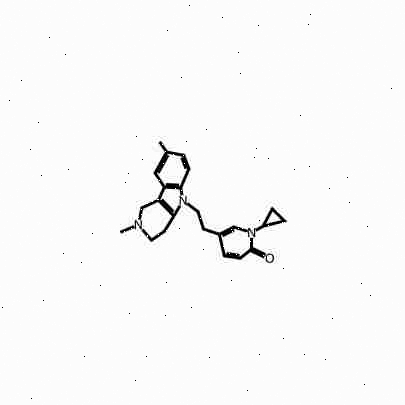 Cc1ccc2c(c1)c1c(n2CCc2ccc(=O)n(C3CC3)c2)CCN(C)C1